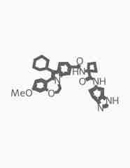 COc1ccc2c(c1)OCCn1c-2c(C2CCCCC2)c2ccc(C(=O)NC3(C(=O)Nc4ccc5nc[nH]c5c4)CCC3)cc21